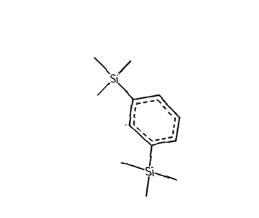 C[Si](C)(C)c1[c]c([Si](C)(C)C)ccc1